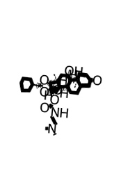 CN(C)CCNC(=O)OCC(=O)[C@@]12O[C@H](C3CCCCC3)O[C@@H]1C[C@H]1[C@@H]3CCC4=CC(=O)C=C[C@]4(C)[C@H]3[C@@H](O)C[C@@]12C